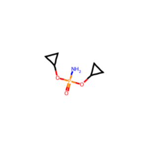 NP(=O)(OC1CC1)OC1CC1